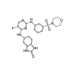 O=c1[nH]c2ccc(Nc3nc(Nc4cccc(S(=O)(=O)N5CCOCC5)c4)ncc3F)cc2[nH]1